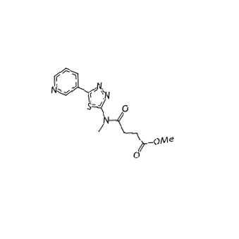 COC(=O)CCC(=O)N(C)c1nnc(-c2cccnc2)s1